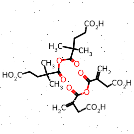 C=C(CC(=O)O)C(=O)OC(=O)C(=C)CC(=O)O.CC(C)(CCC(=O)O)C(=O)OC(=O)C(C)(C)CCC(=O)O